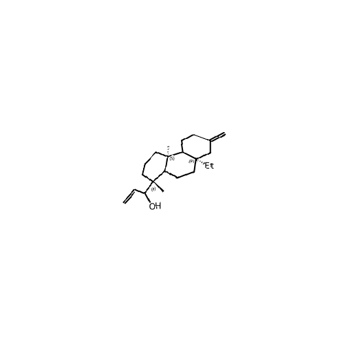 C=CC(O)[C@]1(C)CCC[C@@]2(C)C3CCC(=C)C[C@@]3(CC)CCC12